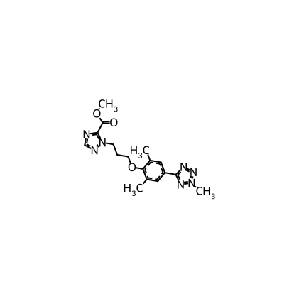 COC(=O)c1ncnn1CCCOc1c(C)cc(-c2nnn(C)n2)cc1C